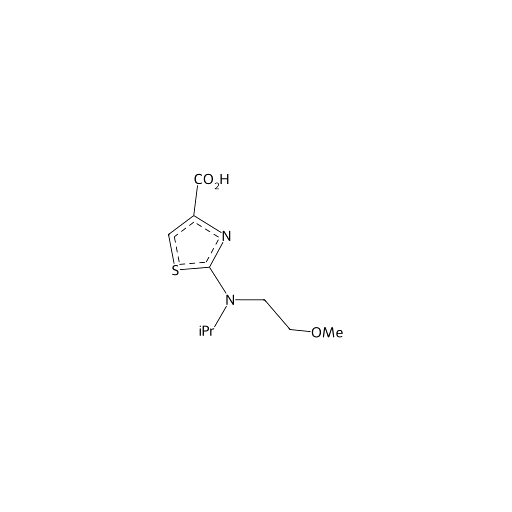 COCCN(c1nc(C(=O)O)cs1)C(C)C